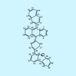 C1=C(c2c3ccccc3c(-c3ccc4ccccc4c3)c3ccccc23)CCC(c2cccc3c2oc2ccccc23)=C1